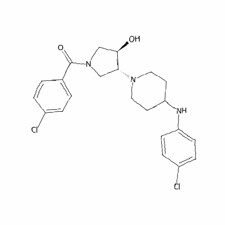 O=C(c1ccc(Cl)cc1)N1C[C@@H](O)[C@H](N2CCC(Nc3ccc(Cl)cc3)CC2)C1